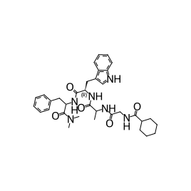 CC(NC(=O)CNC(=O)C1CCCCC1)C(=O)N[C@H](Cc1c[nH]c2ccccc12)C(=O)NC(Cc1ccccc1)C(=O)N(C)C